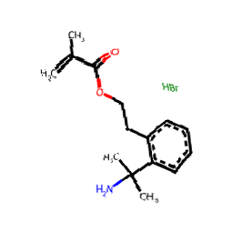 Br.C=C(C)C(=O)OCCc1ccccc1C(C)(C)N